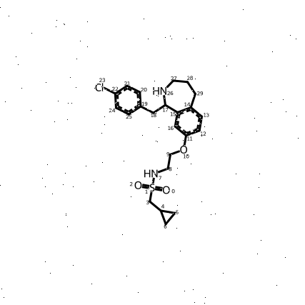 O=S(=O)(CC1CC1)NCCOc1ccc2c(c1)C(Cc1ccc(Cl)cc1)NCCC2